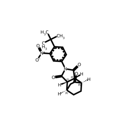 CC(C)(C)c1ccc(N2C(=O)[C@H]3[C@@H]4CC[C@@H](C(=O)C4)[C@H]3C2=O)cc1[N+](=O)[O-]